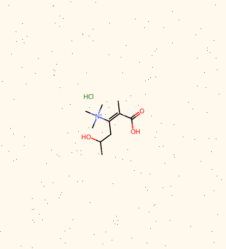 CC(C(=O)O)=C(CC(C)O)[N+](C)(C)C.Cl